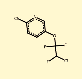 FC(Cl)C(F)(F)Oc1ccc(Cl)nc1